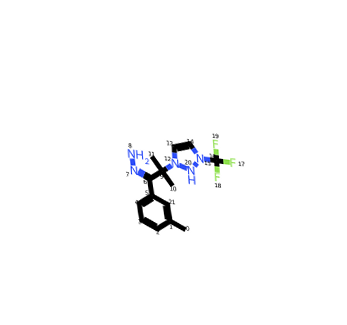 Cc1cccc(C(=NN)C(C)(C)N2C=CN(C(F)(F)F)N2)c1